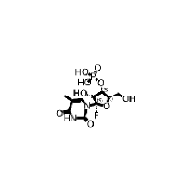 Cc1cn([C@]2(F)O[C@H](CO)[C@@H](OP(=O)(O)O)[C@H]2O)c(=O)[nH]c1=O